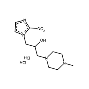 CN1CCN(CC(O)Cn2ccnc2[N+](=O)[O-])CC1.Cl.Cl